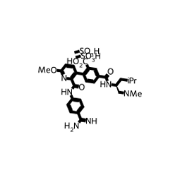 CNC[C@H](CC(C)C)NC(=O)c1ccc(-c2ccc(OC)nc2C(=O)Nc2ccc(C(=N)N)cc2)c(C(=O)O)c1.CS(=O)(=O)O.CS(=O)(=O)O